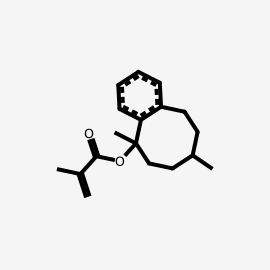 C=C(C)C(=O)OC1(C)CCC(C)CCc2ccccc21